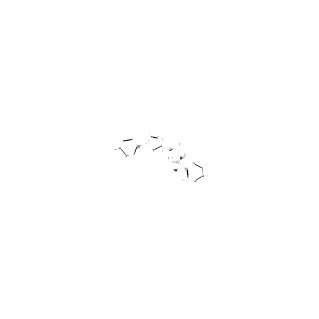 Cc1ccc(-n2cnc(C(=O)NS(=O)(=O)c3ccccc3)c2)cc1